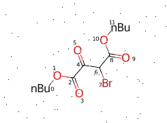 CCCCOC(=O)C(=O)C(Br)C(=O)OCCCC